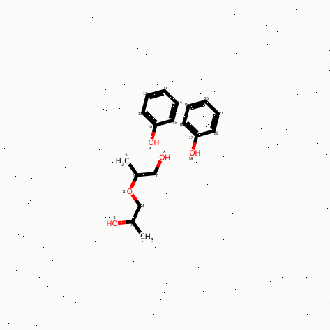 CC(O)COC(C)CO.Oc1ccccc1.Oc1ccccc1